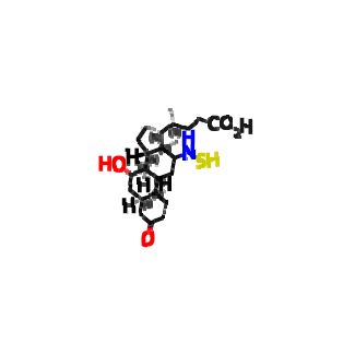 C[C@H](CCC(=O)O)[C@H]1CC[C@H]2[C@@H]3C(O)C[C@@H]4CC(=O)CC[C@]4(C)[C@H]3CC(NS)[C@]12C